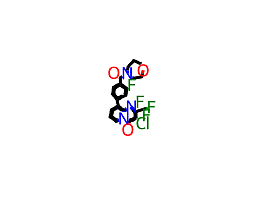 O=C(c1ccc(-c2cccn3c(=O)c(Cl)c(C(F)(F)F)nc23)cc1F)N1CCCOCC1